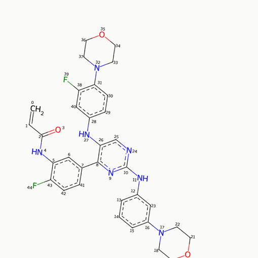 C=CC(=O)Nc1cc(-c2nc(Nc3cccc(N4CCOCC4)c3)ncc2Nc2ccc(N3CCOCC3)c(F)c2)ccc1F